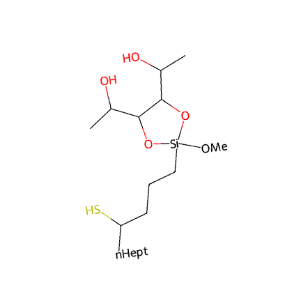 CCCCCCCC(S)CCC[Si]1(OC)OC(C(C)O)C(C(C)O)O1